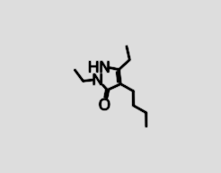 CCCCc1c(CC)[nH]n(CC)c1=O